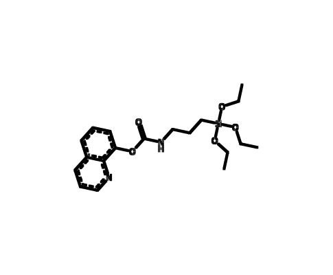 CCO[Si](CCCNC(=O)Oc1cccc2cccnc12)(OCC)OCC